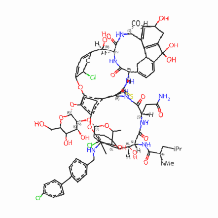 CN[C@H](CC(C)C)C(=O)N[C@H]1C(=O)N[C@@H](CC(N)=O)C(=O)N[C@H]2C(=S)N[C@H]3C(=O)N[C@H](C(=O)N[C@H](C(=O)O)C4=CC(O)CC5=C4C4CC3=CC=C4C5(O)O)[C@H](O)C3=CC=C(Oc4cc2cc(c4O[C@H]2OC(CO)C(O)[C@H](O)[C@@H]2O[C@H]2CC(C)(NCc4ccc(-c5ccc(Cl)cc5)cc4)[C@H](O)C(C)O2)OC2=C(Cl)C=C(CC2)[C@H]1O)C(Cl)C3